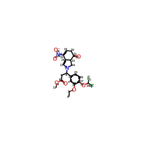 CCOc1cc(C(CC(=O)OC)N2C=C3C([N+](=O)[O-])=CCC(=O)C3C2)ccc1OC(F)F